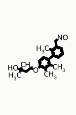 Cc1c(CN=O)cccc1-c1ccc(OCCC(C)(C)O)c(C)c1C